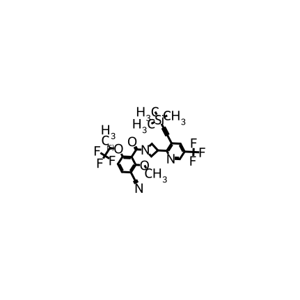 COc1c(C#N)ccc(O[C@@H](C)C(F)(F)F)c1C(=O)N1CC(c2ncc(C(F)(F)F)cc2C#C[Si](C)(C)C)C1